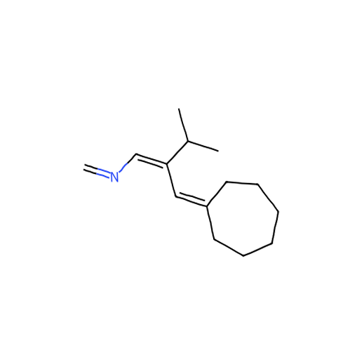 C=N/C=C(\C=C1CCCCCC1)C(C)C